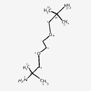 CC(C)(N)COCCOCC(C)(C)N